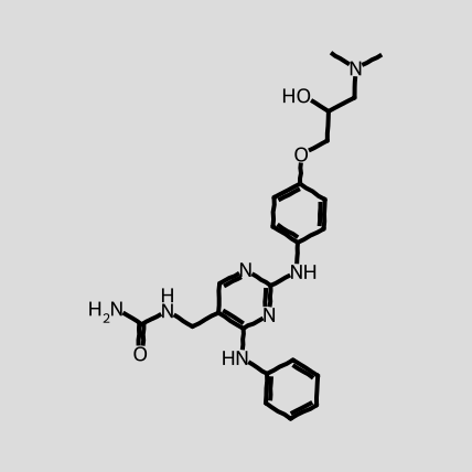 CN(C)CC(O)COc1ccc(Nc2ncc(CNC(N)=O)c(Nc3ccccc3)n2)cc1